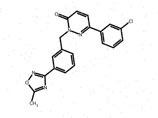 Cc1nc(-c2cccc(Cn3nc(-c4cccc(Cl)c4)ccc3=O)c2)no1